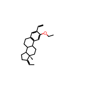 C=Cc1cc2c(cc1OCC)C1CC[C@]3(C)/C(=C\C)CCC3C1CC2